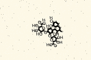 CC(Cc1ccc(O)c(O)c1)C(C)Cc1ccc(O[C@@H]2O[C@H](C(=O)O)[C@@H](O)[C@@H](O)[C@H]2O)c(OC2O[C@H](C(=O)O)[C@@H](O)[C@H](O)[C@H]2O)c1